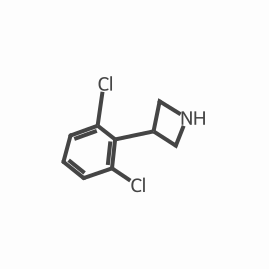 Clc1cccc(Cl)c1C1CNC1